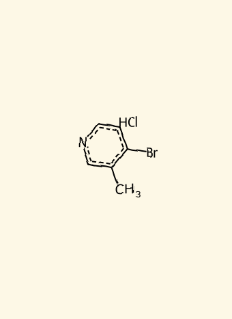 Cc1cnccc1Br.Cl